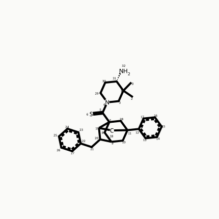 CC1(C)CN(C(=S)C23CC4CC(c5ccccc5)(CC2C4Cc2ccccc2)C3)CC[C@@H]1N